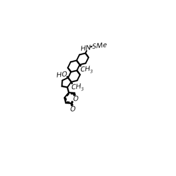 CSNC1CCC2(C)C(CCC3C2CCC2(C)C(c4ccc(=O)oc4)CCC32O)C1